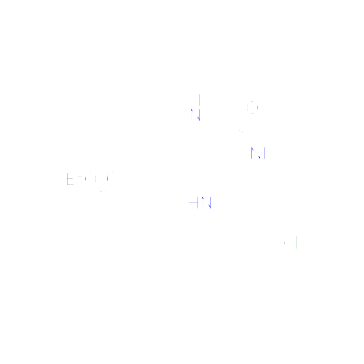 CCOC(=O)c1ccc2[nH]c3c(=O)[nH]cc(Nc4cccc(Cl)c4)c3c2c1